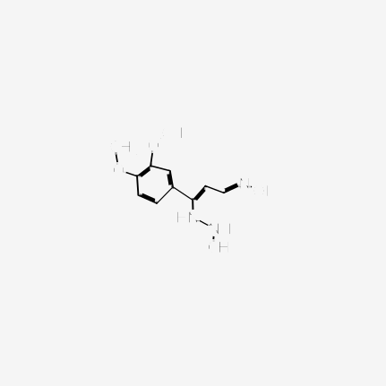 CNN/C(=C\C=NO)c1ccc(OC)c(OC)c1